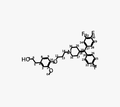 COc1cc(CCO)ccc1OCCCN1CCC(=C(c2ccc(F)cc2)c2ccc(F)c(F)c2)CC1